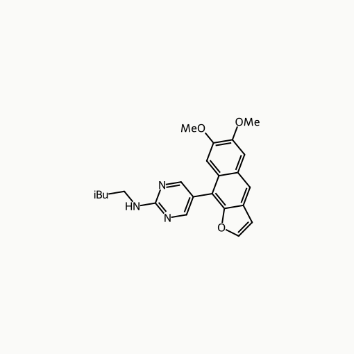 CCC(C)CNc1ncc(-c2c3cc(OC)c(OC)cc3cc3ccoc23)cn1